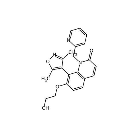 Cc1noc(C)c1-c1c(OCCO)ccc2ccc(=O)n(Cc3ccccn3)c12